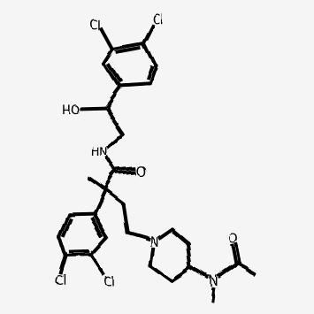 CC(=O)N(C)C1CCN(CCC(C)(C(=O)NCC(O)c2ccc(Cl)c(Cl)c2)c2ccc(Cl)c(Cl)c2)CC1